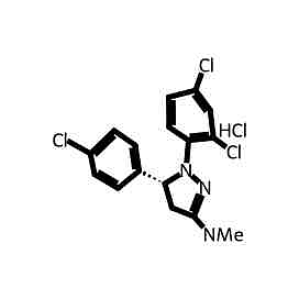 CNC1=NN(c2ccc(Cl)cc2Cl)[C@@H](c2ccc(Cl)cc2)C1.Cl